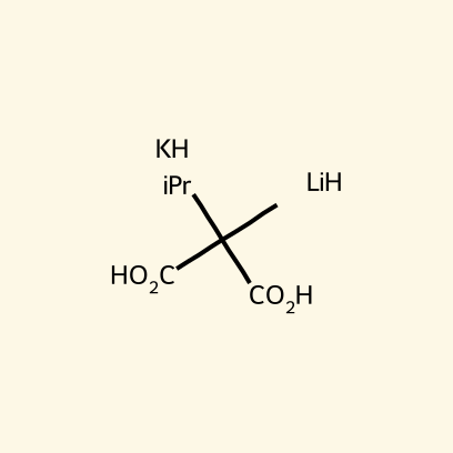 CC(C)C(C)(C(=O)O)C(=O)O.[KH].[LiH]